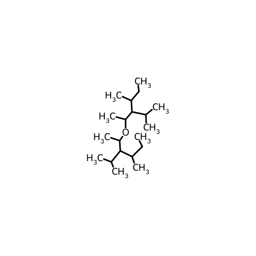 CCC(C)C(C(C)C)C(C)OC(C)C(C(C)C)C(C)CC